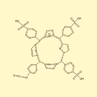 O=S(=O)(O)c1ccc(-c2c3nc(c(-c4ccc(S(=O)(=O)O)cc4)c4ccc([nH]4)c(-c4ccc(S(=O)(=O)O)cc4)c4nc(c(-c5ccc(N=C=S)cc5)c5ccc2[nH]5)C=C4)C=C3)cc1